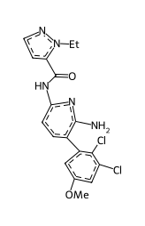 CCn1nccc1C(=O)Nc1ccc(-c2cc(OC)cc(Cl)c2Cl)c(N)n1